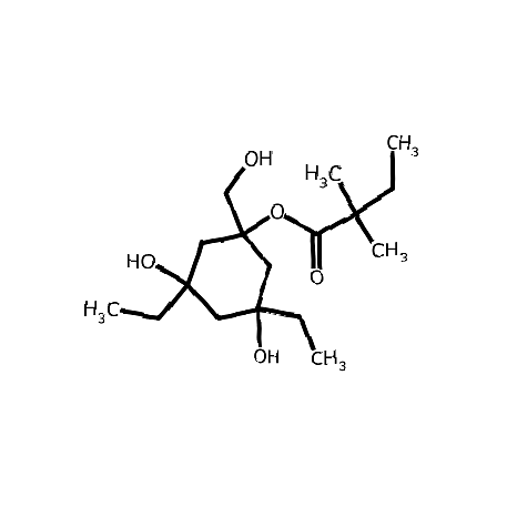 CCC1(O)CC(O)(CC)CC(CO)(OC(=O)C(C)(C)CC)C1